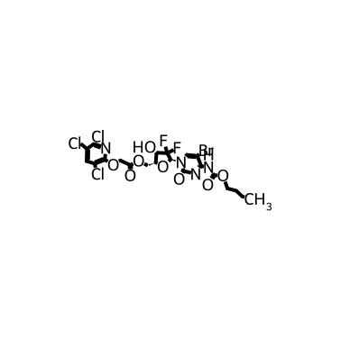 CCCCOC(=O)Nc1nc(=O)n([C@@H]2O[C@H](COC(=O)COc3nc(Cl)c(Cl)cc3Cl)C(O)C2(F)F)cc1Br